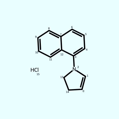 C1=CN(c2cccc3ccccc23)CC1.Cl